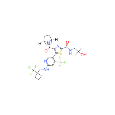 CC(C)(O)CNC(=O)c1nc(C(=O)N2[C@H]3CC[C@@H]2CC3)c(-c2cnc(NCC3(C(F)(F)F)CCC3)cc2C(F)(F)F)s1